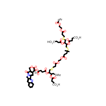 CCCC(=O)OCCOC(=O)CCSCC(OC(=O)CCC(=O)O)C(CSC(C)(C)CCC(=O)OCCOC(=O)CCSCC(OC(=O)CCC(=O)O[C@@]1(CC)C(=O)OCc2c1cc1n(c2=O)Cc2cc3ccccc3nc2-1)C(CSC)OC(=O)CCC(=O)O)OC(=O)CCC(=O)O